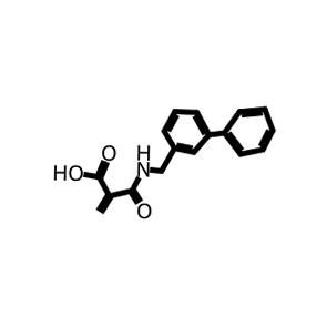 C=C(C(=O)O)C(=O)NCc1cccc(-c2ccccc2)c1